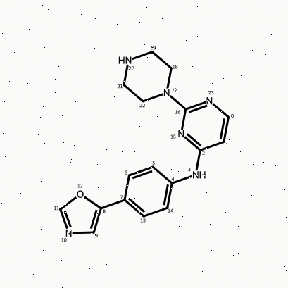 c1cc(Nc2ccc(-c3cnco3)cc2)nc(N2CCNCC2)n1